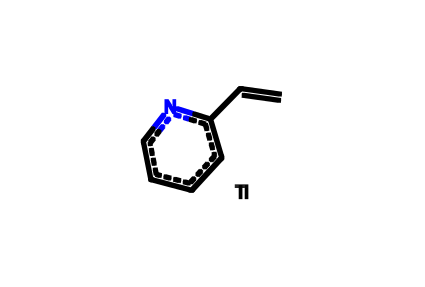 C=Cc1ccccn1.[Ti]